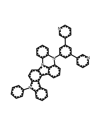 c1ccc(-n2c3ccccc3c3c4c5cccc6c5n(c4ccc32)-c2ccccc2N6c2cc(-c3cccnc3)cc(-c3cccnc3)c2)cc1